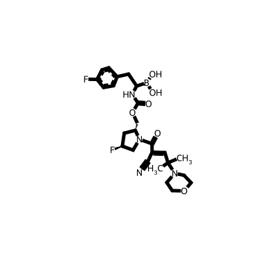 CC(C)(C=C(C#N)C(=O)N1C[C@@H](F)C[C@@H]1COC(=O)NC(Cc1ccc(F)cc1)B(O)O)N1CCOCC1